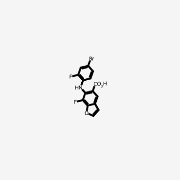 O=C(O)c1cc2ccoc2c(F)c1Nc1ccc(Br)cc1F